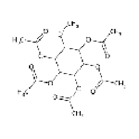 COC1C(OC(C)=O)C(OC(C)=O)C(OC(C)=O)C(OC(C)=O)C1OC(C)=O